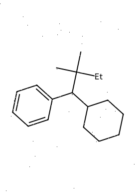 CCC(C)(C)[C](c1ccccc1)C1CCCCC1